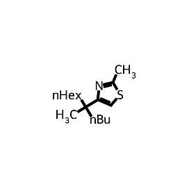 CCCCCCC(C)(CCCC)c1csc(C)n1